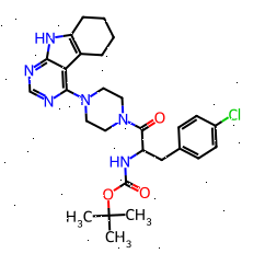 CC(C)(C)OC(=O)NC(Cc1ccc(Cl)cc1)C(=O)N1CCN(c2ncnc3[nH]c4c(c23)CCCC4)CC1